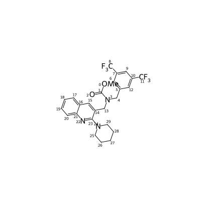 COC(=O)N(Cc1cc(C(F)(F)F)cc(C(F)(F)F)c1)Cc1cc2ccccc2nc1N1CCCCC1